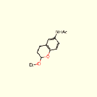 CCOC1CCc2cc(NC(C)=O)ccc2O1